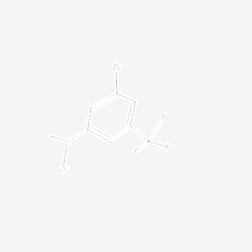 C[S+]([O-])c1cc(Br)cc(C(F)(F)F)c1